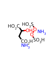 N.N.O=C(O)CC(O)C(=O)O.O=S(=O)(O)OOS(=O)(=O)O